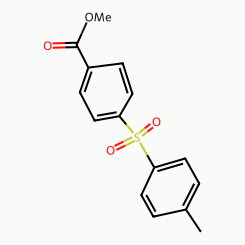 COC(=O)c1ccc(S(=O)(=O)c2ccc(C)cc2)cc1